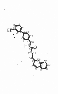 CCc1cccc(-c2ccc(CNC(=O)CCCc3ccc4cccnc4n3)cc2)c1